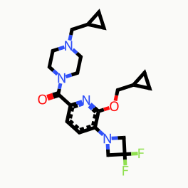 O=C(c1ccc(N2CC(F)(F)C2)c(OCC2CC2)n1)N1CCN(CC2CC2)CC1